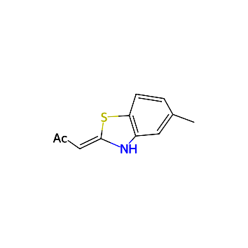 CC(=O)/C=C1/Nc2cc(C)ccc2S1